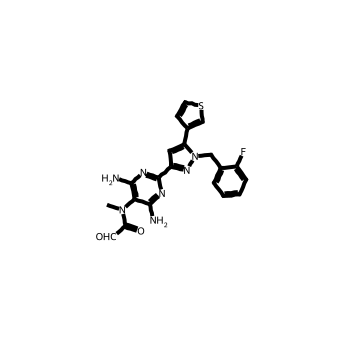 CN(C(=O)C=O)c1c(N)nc(-c2cc(-c3ccsc3)n(Cc3ccccc3F)n2)nc1N